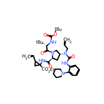 C=CCN(C(=O)Nc1ccccc1N1CCCCC1)[C@@H]1C[C@@H](C(=O)NC2(C(=O)OCC)CC2C=C)N(C(=O)[C@@H](NC(=O)OC(C)(C)C)C(C)(C)C)C1